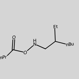 CCCCC(CC)CNOC(=O)CCC